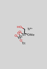 CC[O-].CC[O-].CC[O-].CC[O-].COCCO.[Ti+4]